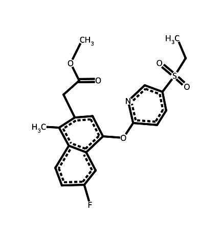 CCS(=O)(=O)c1ccc(Oc2cc(CC(=O)OC)c(C)c3ccc(F)cc23)nc1